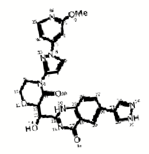 COc1cc(-n2ccc(N3CCOC(C(O)c4nc(=O)c5cc(-c6cn[nH]c6)ccc5[nH]4)C3=O)n2)ccn1